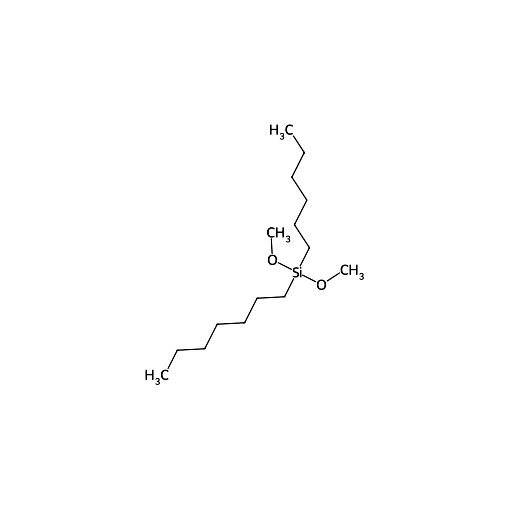 CCCCCCC[Si](CCCCCC)(OC)OC